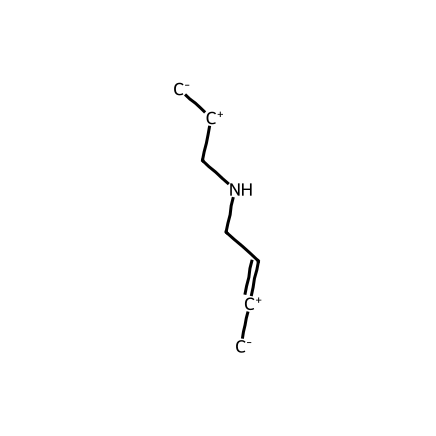 [CH2-]/[C+]=C/CNC[CH+][CH2-]